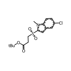 Cn1c(S(=O)(=O)CCC(=O)OC(C)(C)C)cc2cc(Cl)ccc21